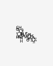 COc1cccc2c1CC[C@H]1CNC(CCn3c(C)nc4sc5ccccc5c4c3=O)[C@@H]21